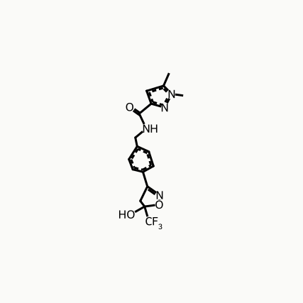 Cc1cc(C(=O)NCc2ccc(C3=NOC(O)(C(F)(F)F)C3)cc2)nn1C